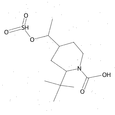 CC(O[SH](=O)=O)C1CCN(C(=O)O)C(C(C)(C)C)C1